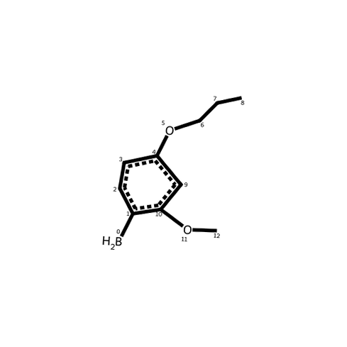 Bc1ccc(OCCC)cc1OC